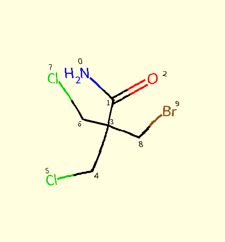 NC(=O)C(CCl)(CCl)CBr